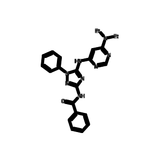 CCN(CC)c1cc(Nc2nc(NC(=O)c3ccccc3)nn2-c2ccccc2)ncn1